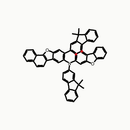 CC1(C)c2ccccc2-c2ccc(-c3cc4oc5c6ccccc6ccc5c4cc3N(c3ccc4c(c3)C(C)(C)c3ccccc3-4)c3ccc4c(c3)oc3ccccc34)cc21